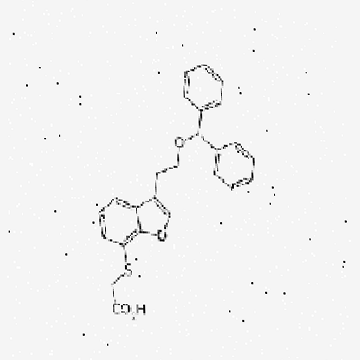 O=C(O)CSc1cccc2c(CCOC(c3ccccc3)c3ccccc3)coc12